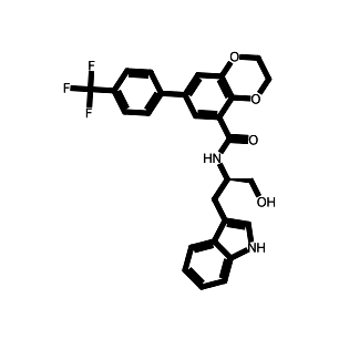 O=C(N[C@@H](CO)Cc1c[nH]c2ccccc12)c1cc(-c2ccc(C(F)(F)F)cc2)cc2c1OCCO2